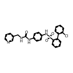 O=C(NCc1cccnc1)Nc1ccc(NS(=O)(=O)c2ccccc2-c2ccccc2Cl)cc1